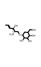 C/C=C/[C@@H](O)[C@@H](N)CO[C@@H]1CC(CO)[C@@H](O)C(O)C1O